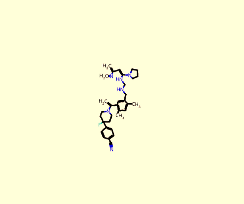 C=NC(=C)/C=C(\NCNCc1cc(C(=C)N2CCC(F)(c3ccc(C#N)cc3)CC2)c(C)cc1C)N1CCCC1